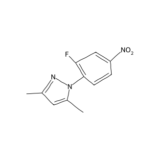 Cc1cc(C)n(-c2ccc([N+](=O)[O-])cc2F)n1